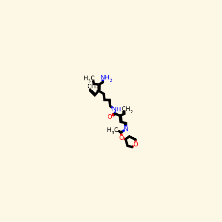 C=C/C(=C\C=N/C(C)OC1CCOCC1)C(=O)NCCCCC(/C=C\C)=C(/CC)CN